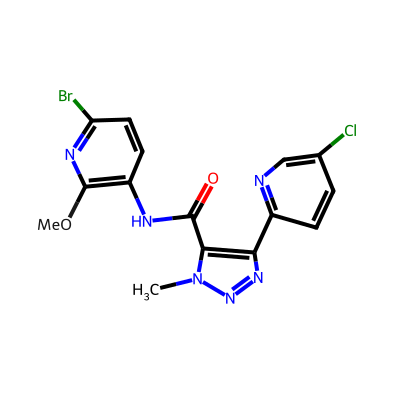 COc1nc(Br)ccc1NC(=O)c1c(-c2ccc(Cl)cn2)nnn1C